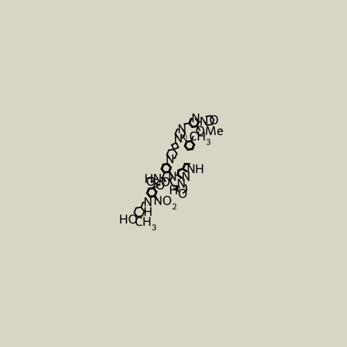 COc1cc(CN2CCN(C3CC4(CCN(c5ccc(C(=O)NS(=O)(=O)c6ccc(NCC7CCC(C)(O)CC7)c([N+](=O)[O-])c6)c(N6CC[C@H]7COCCN7c7nc8[nH]ccc8cc76)c5)CC4)C3)[C@H](c3ccccc3C)C2)cnc1N1CCOCC1